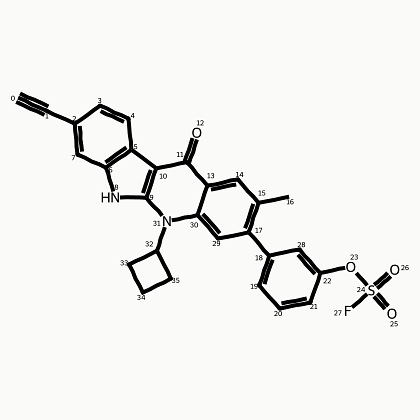 C#Cc1ccc2c(c1)[nH]c1c2c(=O)c2cc(C)c(-c3cccc(OS(=O)(=O)F)c3)cc2n1C1CCC1